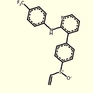 C=C[S+]([O-])c1ccc(-c2cccnc2Nc2ccc(C(F)(F)F)cc2)cc1